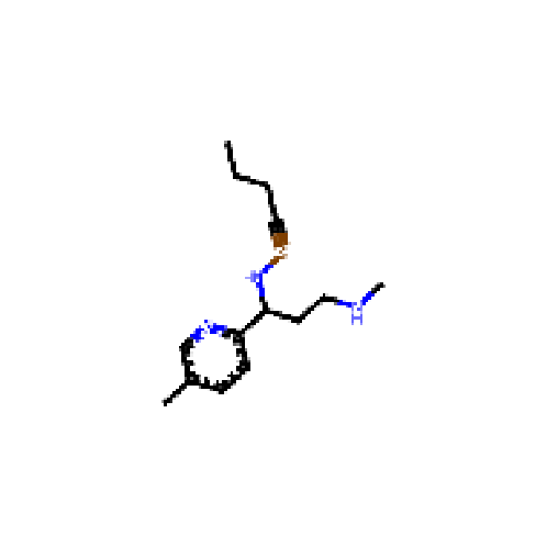 CCCC#SNC(CCNC)c1ccc(C)cn1